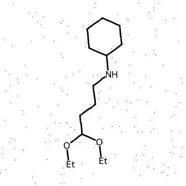 CCOC(CCCNC1CCCCC1)OCC